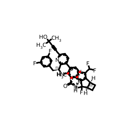 Cc1c(-c2ccc(C#CC(C)(C)O)nc2[C@H](Cc2cc(F)cc(F)c2)NC(=O)Cn2nc(C(F)F)c3c2C(F)(F)[C@@H]2CC[C@H]32)ccc2n[nH]c(=O)n12